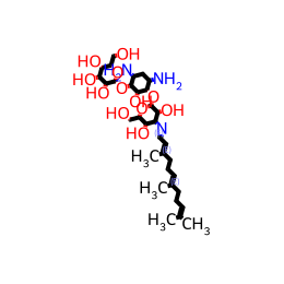 CC(C)=CCC/C(C)=C/CC/C(C)=C/C=N/C1C(O)C(CO)OC(OC2C(N)CC(N)C(OC3OC(CO)C(O)C(O)C3O)C2O)C1O